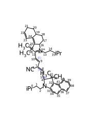 CC(C)CCN1/C(=C/C=C(C#N)/C=C/C2=[N+](CCC(C)C)C3CCC4CCC=CC4=C3C2(C)C)C(C)(C)c2c1ccc1ccccc21